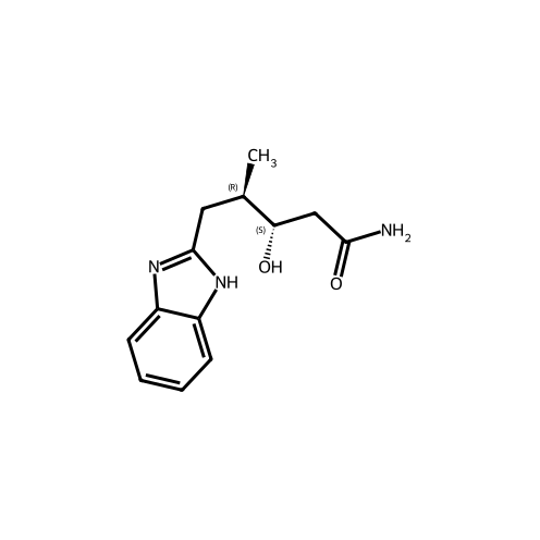 C[C@H](Cc1nc2ccccc2[nH]1)[C@@H](O)CC(N)=O